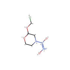 [O-]/[NH+]=[N+](/[O-])N1CCOC(OCCl)C1